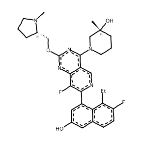 CCc1c(F)ccc2cc(O)cc(-c3ncc4c(N5CCC[C@@](C)(O)C5)nc(OC[C@@H]5CCCN5C)nc4c3F)c12